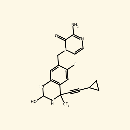 Nc1nccn(Cc2cc3c(cc2F)C(C#CC2CC2)(C(F)(F)F)NC(O)N3)c1=O